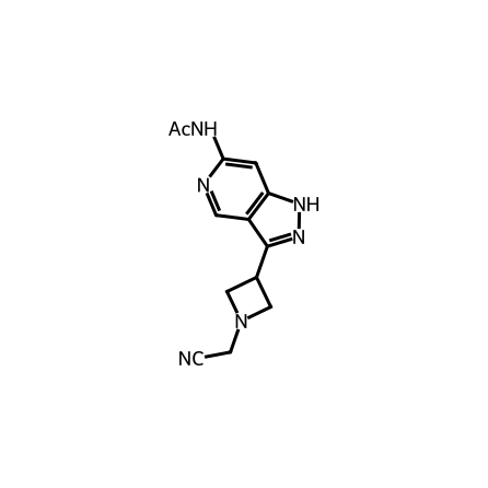 CC(=O)Nc1cc2[nH]nc(C3CN(CC#N)C3)c2cn1